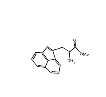 COC(=O)C(N)CC1=Cc2cccc3cccc1c23